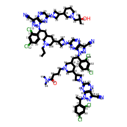 CCCN1CC(CC(c2ccc(Cl)cc2Cl)n2nc(C#N)c3ncc(N4CC(C5CCCN(CC(C)(C)O)C5)C4)nc32)CC(C2CN(c3cnc4c(C#N)nn(C(CC5CC(C6CN(c7cnc8c(C#N)nn(C(C)c9ccc(Cl)cc9Cl)c8n7)C6)CN(CCCC(=O)N(C)C)C5)c5ccc(Cl)cc5Cl)c4n3)C2)C1